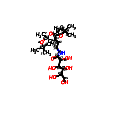 C[Si](C)(C)O[Si](C)(C)O[Si](C)(CCCNC(=O)C(O)C(O)C(O)C(O)CO)O[Si](C)(C)C